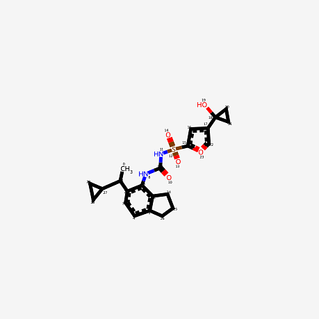 CC(c1ccc2c(c1NC(=O)NS(=O)(=O)c1cc(C3(O)CC3)co1)CCC2)C1CC1